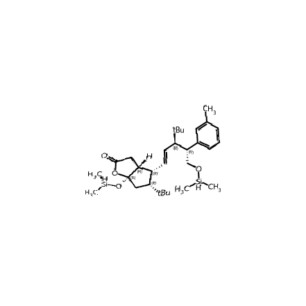 Cc1cccc([C@H](CO[SiH](C)C)[C@@H](C=C[C@@H]2[C@H](C(C)(C)C)C[C@@]3(O[SiH](C)C)OC(=O)C[C@H]23)C(C)(C)C)c1